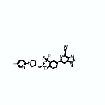 Cc1ccc(N2CC[C@H](CCOc3ccc(-c4cc5c(nnn5C)c(C#N)n4)cc3C(F)(F)F)C2)nc1